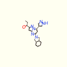 CCC(=O)c1cc2nc(N3Cc4ccccc4C3)cc(-c3cn[nH]c3)n2n1